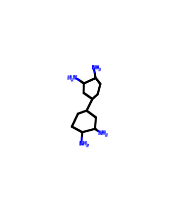 NC1CCC(C2CCC(N)C(N)C2)CC1N